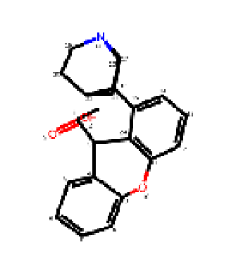 O=C(O)C1c2ccccc2Oc2cccc(C3CN4CCC3CC4)c21